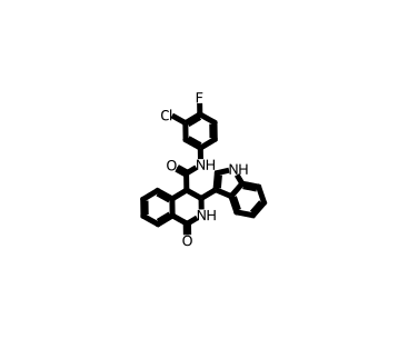 O=C1NC(c2c[nH]c3ccccc23)C(C(=O)Nc2ccc(F)c(Cl)c2)c2ccccc21